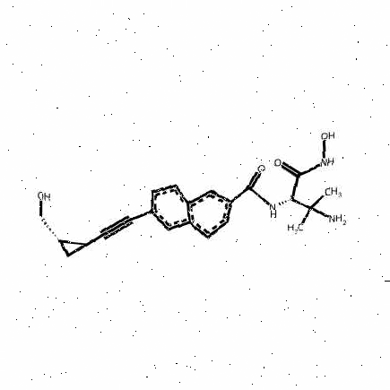 CC(C)(N)[C@H](NC(=O)c1ccc2cc(C#CC3C[C@@H]3CO)ccc2c1)C(=O)NO